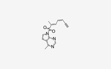 C#C/C=C\C=C(/C)S(=O)(=O)n1ccc2c(C)ncnc21